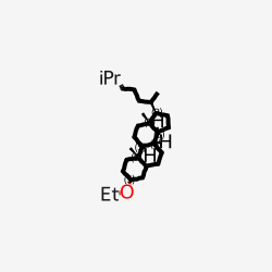 CCO[C@H]1CC[C@@]2(C)C(CC[C@H]3[C@@H]4CC[C@H](C(C)CCCC(C)C)[C@@]4(C)CC[C@@H]32)C1